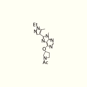 CCn1ncc(-c2nc3c(OC4CCN(C(C)=O)C4)ncnc3n2C)c1C